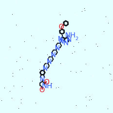 Nc1ncnc2c1c(-c1ccc(Oc3ccccc3)cc1)nn2C1CCN(C2CCN(C3CCN(C4CCN(c5ccc6c(c5)CN(C5CCC(=O)NC5=O)C6)CC4)CC3)CC2)CC1